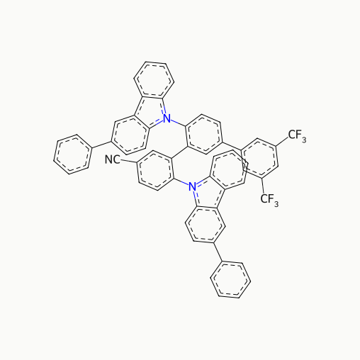 N#Cc1ccc(-n2c3ccccc3c3cc(-c4ccccc4)ccc32)c(-c2cc(-c3cc(C(F)(F)F)cc(C(F)(F)F)c3)ccc2-n2c3ccccc3c3cc(-c4ccccc4)ccc32)c1